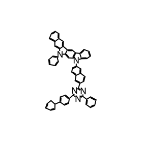 C1=CCC(c2ccc(-c3nc(-c4ccccc4)nc(-c4ccc5cc(-n6c7ccccc7c7cc8c9cc%10ccccc%10cc9n(-c9ccccc9)c8cc76)ccc5c4)n3)cc2)C=C1